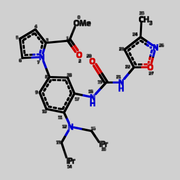 COC(=O)c1cccn1-c1ccc(N(CC(C)C)CC(C)C)c(NC(=O)Nc2cc(C)no2)c1